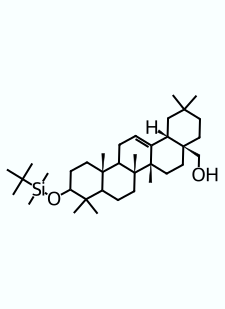 CC1(C)CC[C@]2(CO)CC[C@@]3(C)C(=CCC4[C@@]5(C)CCC(O[Si](C)(C)C(C)(C)C)C(C)(C)C5CC[C@]43C)[C@@H]2C1